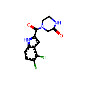 O=C1CN(C(=O)c2cc3c(Cl)c(F)ccc3[nH]2)CCN1